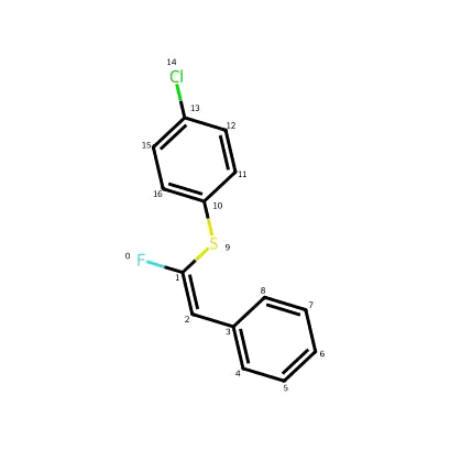 FC(=Cc1ccccc1)Sc1ccc(Cl)cc1